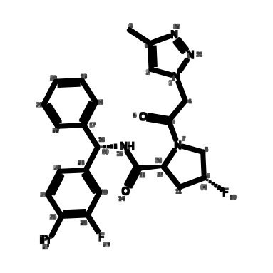 Cc1cn(CC(=O)N2C[C@H](F)C[C@H]2C(=O)N[C@@H](c2ccccc2)c2ccc(C(C)C)c(F)c2)nn1